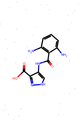 Nc1cccc(N)c1C(=O)Nc1c[nH]nc1C(=O)O